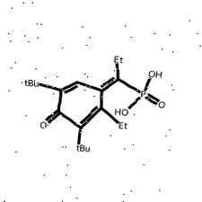 CCC1=C(C(C)(C)C)C(=O)C(C(C)(C)C)=CC1=C(CC)P(=O)(O)O